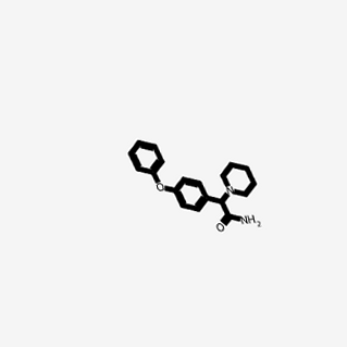 NC(=O)C(c1ccc(Oc2ccccc2)cc1)N1CCCCC1